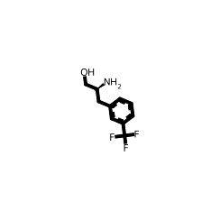 N[C@H](CO)Cc1cccc(C(F)(F)F)c1